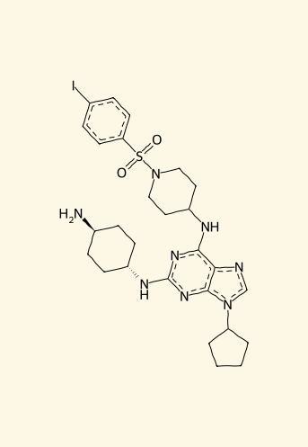 N[C@H]1CC[C@H](Nc2nc(NC3CCN(S(=O)(=O)c4ccc(I)cc4)CC3)c3ncn(C4CCCC4)c3n2)CC1